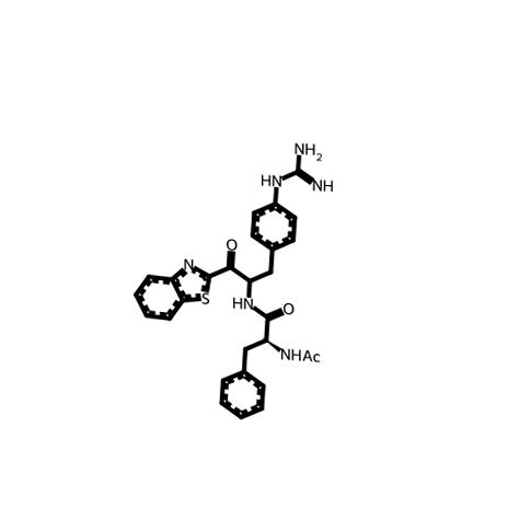 CC(=O)N[C@@H](Cc1ccccc1)C(=O)NC(Cc1ccc(NC(=N)N)cc1)C(=O)c1nc2ccccc2s1